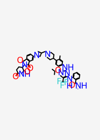 CNC(=O)c1ccccc1Nc1nc(Nc2cc(C)c(C3CCN(CC4CN(c5ccc6c(c5)C(=O)N(C5CCC(=O)NC5=O)C6=O)C4)CC3)cc2OC(C)C)ncc1C(F)(F)F